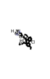 CCc1cccc(-c2c(Cl)cccc2[C@](O)(CCCCOC)[C@@H]2CCCN(C(=O)CC(/N=N\C)=N/N)C2)c1